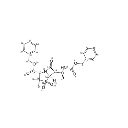 C[C@H](NC(=O)OCc1ccccc1)[C@@H]1C(=O)N2[C@@H](C(=O)OCc3ccccc3)C(C)(C)S(=O)(=O)[C@H]12